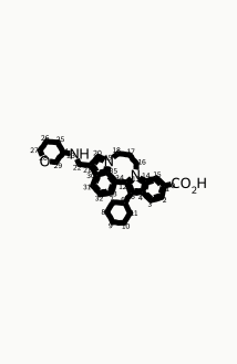 O=C(O)c1ccc2c(C3CCCCC3)c3n(c2c1)CCCn1cc(CNC2CCCOC2)c2cccc-3c21